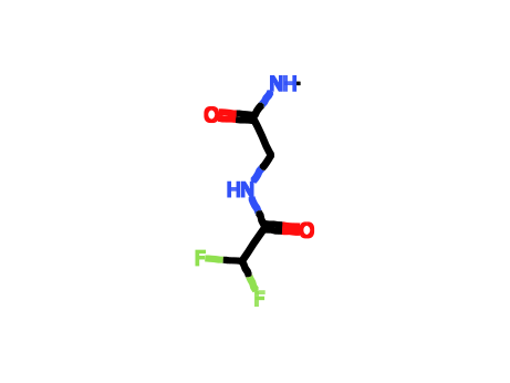 [NH]C(=O)CNC(=O)C(F)F